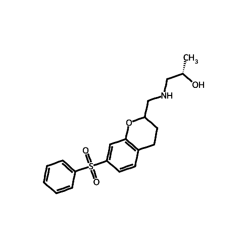 C[C@H](O)CNCC1CCc2ccc(S(=O)(=O)c3ccccc3)cc2O1